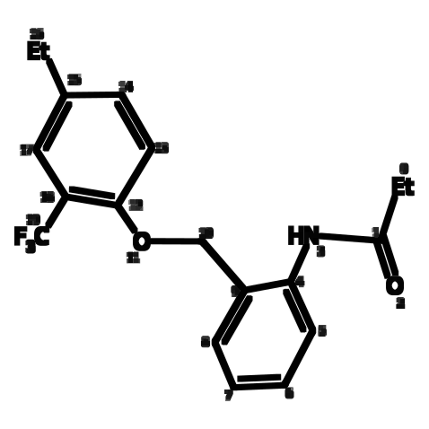 CCC(=O)Nc1ccccc1COc1ccc(CC)cc1C(F)(F)F